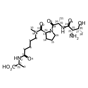 C[C@H](NC(=O)CCCCN(C)C(=O)[C@@H]1CCCN1C(=O)[C@H](C)NC(=O)[C@@H](N)[C@@H](C)O)C(=O)O